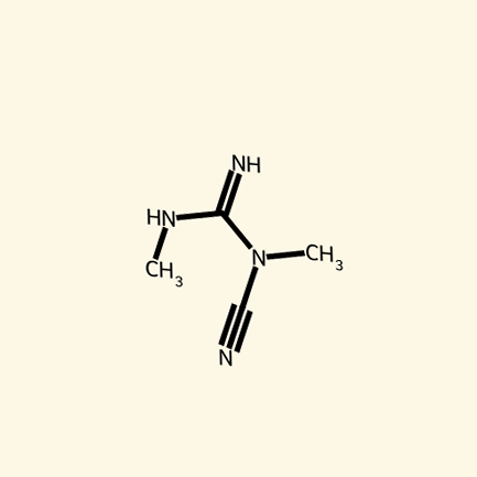 CNC(=N)N(C)C#N